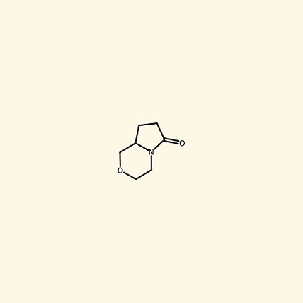 O=C1CCC2COCCN12